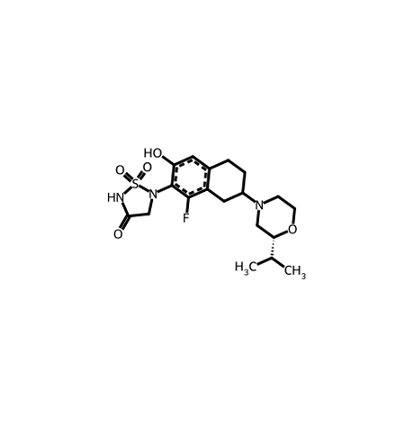 CC(C)[C@@H]1CN(C2CCc3cc(O)c(N4CC(=O)NS4(=O)=O)c(F)c3C2)CCO1